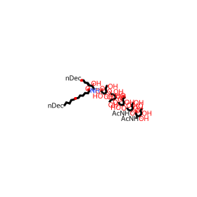 CCCCCCCCCCCCC/C=C/[C@@H](O)[C@H](CO[C@@H]1OC(CO)[C@@H](O[C@@H]2OC(CO)[C@H](O[C@@H]3OC(CO)[C@H](O)[C@H](O[C@@H]4OC(CO)[C@H](O)[C@H](O[C@@H]5OC(CO)[C@H](O)[C@H](O)C5NC(C)=O)C4NC(C)=O)C3O)[C@H](O)C2O)[C@H](O)C1O)NC(=O)CCCCCCCCCCCCCCCCCCCCC